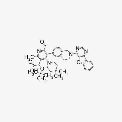 Cc1nc(C=O)c(-c2ccc3c(c2)CCN(c2ncnc4c2oc2ccccc24)C3)c(N2CCC(C)(C)CC2)c1C(OC(C)(C)C)C(=O)O